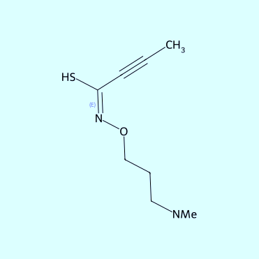 CC#C/C(S)=N\OCCCNC